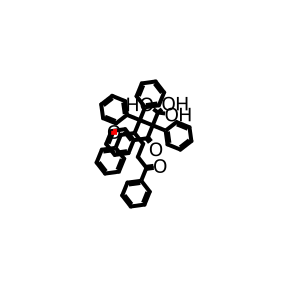 O=C(CCC(C(=O)c1ccccc1)C(c1ccccc1)(c1ccccc1)C(C(=O)c1ccccc1)(c1ccccc1)C(O)(O)O)c1ccccc1